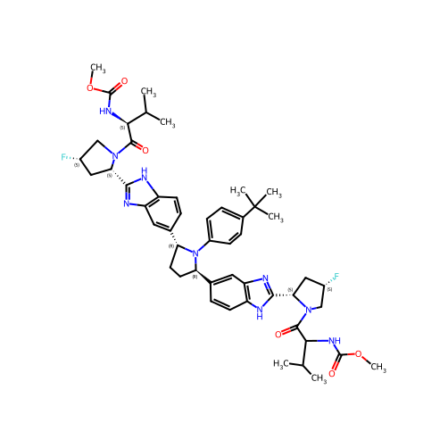 COC(=O)NC(C(=O)N1C[C@@H](F)C[C@H]1c1nc2cc([C@H]3CC[C@H](c4ccc5[nH]c([C@@H]6C[C@H](F)CN6C(=O)[C@@H](NC(=O)OC)C(C)C)nc5c4)N3c3ccc(C(C)(C)C)cc3)ccc2[nH]1)C(C)C